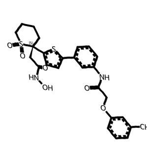 Cc1cccc(OCC(=O)Nc2cccc(-c3ccc([C@@]4(CC(=O)NO)CCCCS4(=O)=O)s3)c2)c1